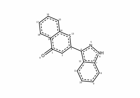 O=c1cc(-c2n[nH]c3ccccc23)sc2ccccc12